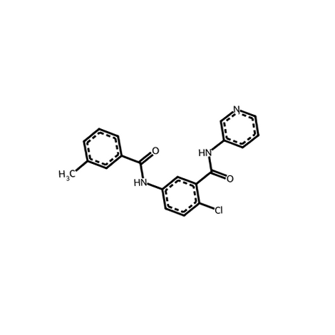 Cc1cccc(C(=O)Nc2ccc(Cl)c(C(=O)Nc3cccnc3)c2)c1